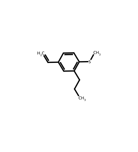 C=Cc1ccc(SC)c(CCC)c1